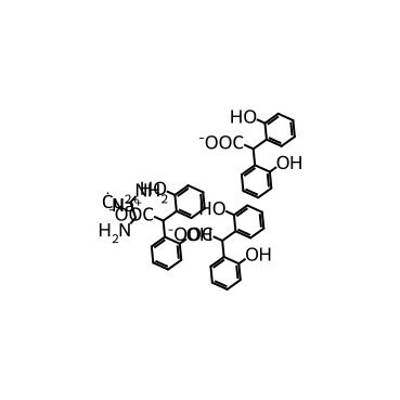 NCCN.O=C([O-])C(c1ccccc1O)c1ccccc1O.O=C([O-])C(c1ccccc1O)c1ccccc1O.O=C([O-])C(c1ccccc1O)c1ccccc1O.[Cu+2].[Na+]